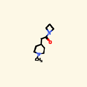 CN1CCC(CC(=O)N2CCC2)CC1